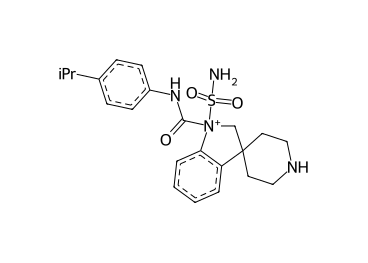 CC(C)c1ccc(NC(=O)[N+]2(S(N)(=O)=O)CC3(CCNCC3)c3ccccc32)cc1